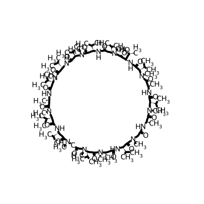 CC(C)[C@@H]1NC(=O)[C@H](C(C)C)N(C)C(=O)[C@H](C)NC(=O)[C@H](C(C)C)N(C)C(=O)[C@H](C(C)C)NC(=O)[C@H](C(C)C)N(C)C(=O)[C@H](C(C)C)NC(=O)[C@H](C(C)C)N(C)C(=O)[C@H]([C@@H](C)O)NC(=O)[C@H](C(C)C)N(C)C(=O)[C@H](C)NC(=O)[C@H](C(C)C)N(C)C(=O)[C@H](C)NC(=O)CN(C)C(=O)[C@H](C(C)C)NC(=O)[C@H](C)N(C)C(=O)[C@H](C(C)C)N(C)C(=O)CN(C)C1=O